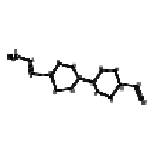 C/C=C/C1CCC(C2CCC(C=O)CC2)CC1